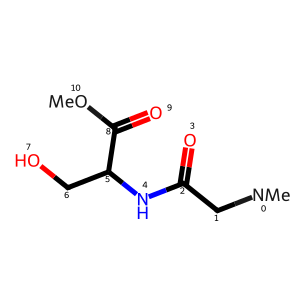 CNCC(=O)NC(CO)C(=O)OC